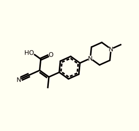 C/C(=C(\C#N)C(=O)O)c1ccc(N2CCN(C)CC2)cc1